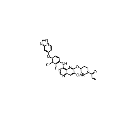 C=CC(=O)N1CCC(Oc2nc3c(Nc4ccc(Oc5ccn6ncnc6c5)c(Cl)c4F)ncnc3cc2OC)CC1